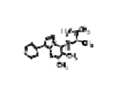 Cc1nc2c(-c3ccccc3)cnn2c(NCC(C)N(C)C)c1C